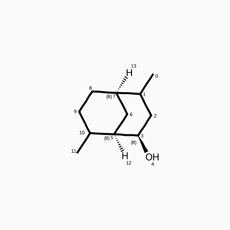 CC1C[C@@H](O)[C@@H]2C[C@H]1CCC2C